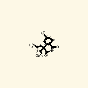 COC(=O)C1(CC(N)=O)C(=O)NC(=O)c2ccc(Br)cc21